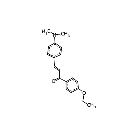 CCOc1ccc(C(=O)C=Cc2ccc(N(C)C)cc2)cc1